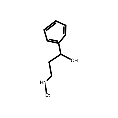 CCNCCC(O)c1ccccc1